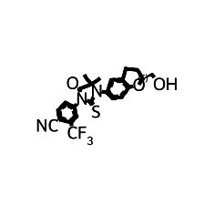 CC1(C)C(=O)N(c2ccc(C#N)c(C(F)(F)F)c2)C(=S)N1c1ccc2c(c1)CC[C@@H](CO)O2